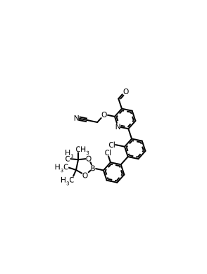 CC1(C)OB(c2cccc(-c3cccc(-c4ccc(C=O)c(OCC#N)n4)c3Cl)c2Cl)OC1(C)C